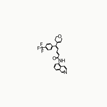 O=C(C=CC=C(C1=CCOCC1)c1ccc(C(F)(F)F)cc1)Nc1cccc2cnccc12